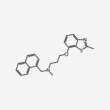 Cc1nc2cccc(OCCCN(C)Cc3cccc4ccccc34)c2s1